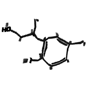 C[C](CO)c1cc(C)ccc1I